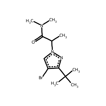 CC(C(=O)N(C)C)n1cc(Br)c(C(C)(C)C)n1